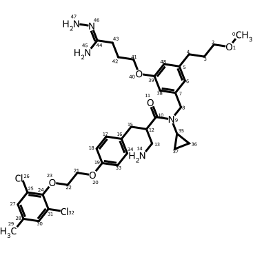 COCCCc1cc(CN(C(=O)C(CN)Cc2ccc(OCCOc3c(Cl)cc(C)cc3Cl)cc2)C2CC2)cc(OCCC/C(N)=N/N)c1